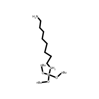 CCCCO[Si](OCCCC)(OCCCC)[SiH2]CCCCCCCCN